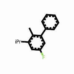 Cc1c(-c2ccccc2)cc(F)cc1C(C)C